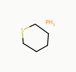 C1CCSCC1.P